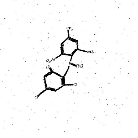 O=CN(c1c(Cl)cc(Cl)cc1Cl)c1c([N+](=O)[O-])cc(C(F)(F)F)cc1[N+](=O)[O-]